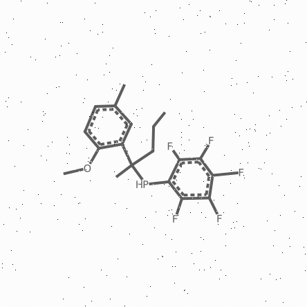 CCCC(C)(Pc1c(F)c(F)c(F)c(F)c1F)c1cc(C)ccc1OC